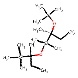 CCC(C)(O[Si](C)(C)[C@](C)(CC)O[Si](C)(C)C)[Si](C)(C)C